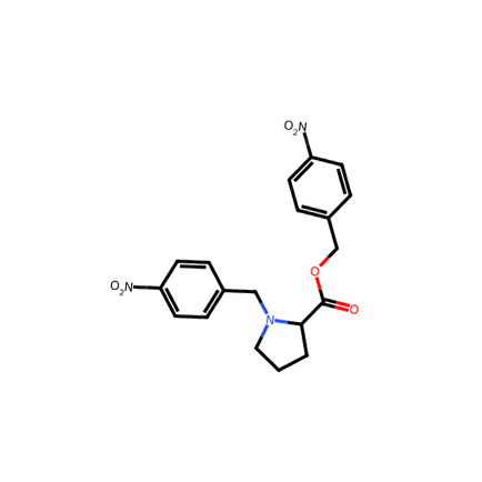 O=C(OCc1ccc([N+](=O)[O-])cc1)C1CCCN1Cc1ccc([N+](=O)[O-])cc1